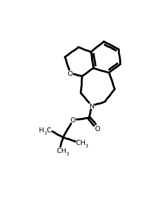 CC(C)(C)OC(=O)N1CCc2cccc3c2C(C1)OCC3